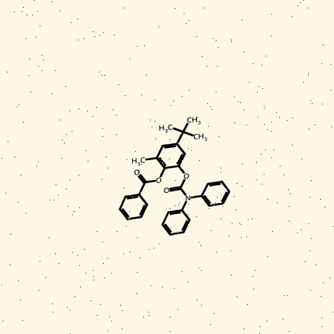 Cc1cc(C(C)(C)C)cc(OC(=O)N(c2ccccc2)c2ccccc2)c1OC(=O)c1ccccc1